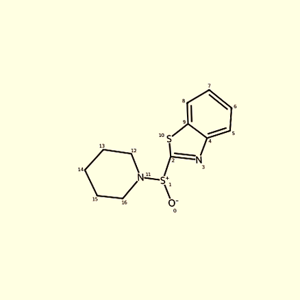 [O-][S+](c1nc2ccccc2s1)N1CCCCC1